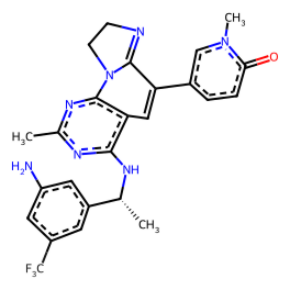 Cc1nc(N[C@H](C)c2cc(N)cc(C(F)(F)F)c2)c2c(n1)N1CCN=C1C(c1ccc(=O)n(C)c1)=C2